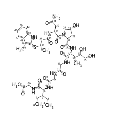 CCC(CC)[C@H](NC(=O)CNC(=O)CNC(=O)[C@@H](NC(=O)[C@@H]1C[C@@H](O)CN1C(=O)[C@H](CC(N)=O)NC(=O)C[C@H](C)Sc1[nH]c2ccccc2c1C)[C@@H](C)[C@@H](O)CO)C(=O)NCC(C)=O